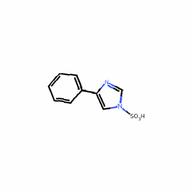 O=S(=O)(O)n1cnc(-c2ccccc2)c1